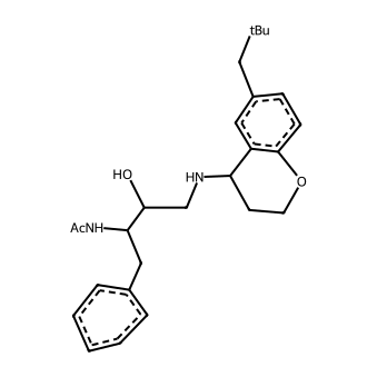 CC(=O)NC(Cc1ccccc1)C(O)CNC1CCOc2ccc(CC(C)(C)C)cc21